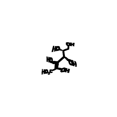 O=C(O)/C(O)=C(\O)[C@H](O)[C@H](O)CO